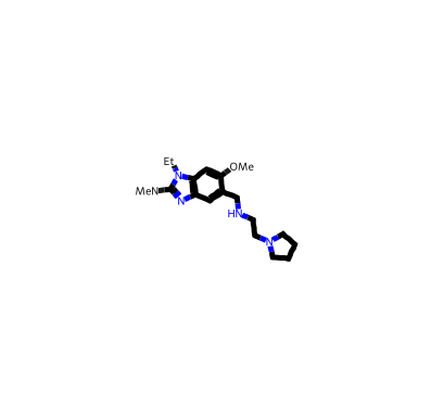 CCn1c(NC)nc2cc(CNCCN3CCCC3)c(OC)cc21